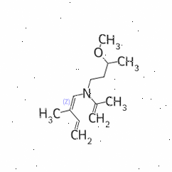 C=C/C(C)=C\N(CCC(C)OC)C(=C)C